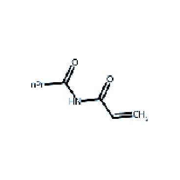 C=CC(=O)NC(=O)CCC